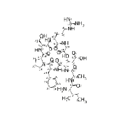 CC[C@H](C)[C@H](N)C(=O)N[C@@H](C)C(=O)N[C@@H](CCC(=O)O)C(=O)N[C@@H](Cc1ccccc1)C(=O)N1CCC[C@H]1C(=O)N[C@@H](CO)C(=O)N[C@@H](CCCNC(=N)N)C(=O)NCC(=O)O